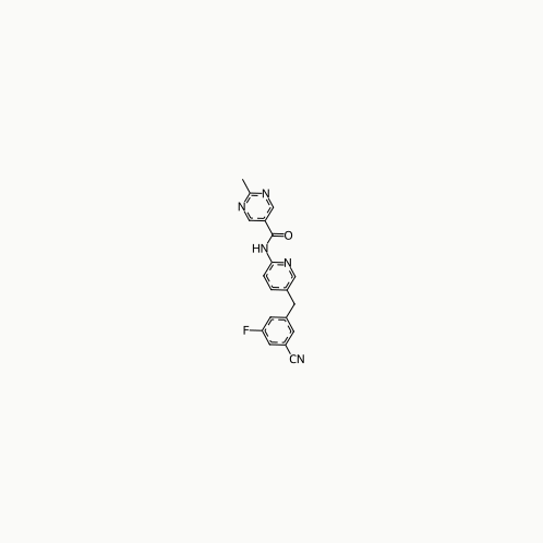 Cc1ncc(C(=O)Nc2ccc(Cc3cc(F)cc(C#N)c3)cn2)cn1